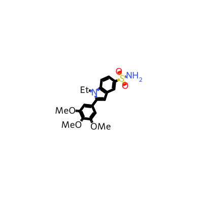 CCn1c(-c2cc(OC)c(OC)c(OC)c2)cc2cc(S(N)(=O)=O)ccc21